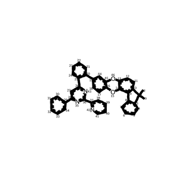 CC1(C)c2ccccc2-c2c1ccc1c2Oc2ccc(-c3ccccc3-c3cc(-c4ccccc4)nc(-c4ccccn4)n3)cc2O1